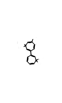 CC(C)C1=CC(C)(C)C=C(C2=CC(C)(S)C=CC=C2)C=C1